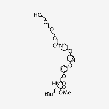 C#CCOCCOCCOCC(=O)N1CCC(Oc2ccc(Oc3cccc(OCC(=O)N[C@@H](CCC(C)(C)C)C(=O)OC)c3)nc2)CC1